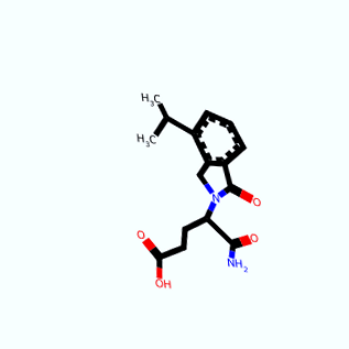 CC(C)c1cccc2c1CN(C(CCC(=O)O)C(N)=O)C2=O